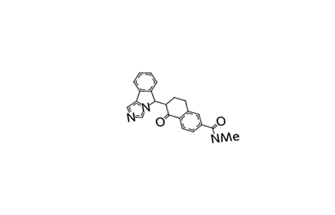 CNC(=O)c1ccc2c(c1)CCC(C1c3ccccc3-c3cncn31)C2=O